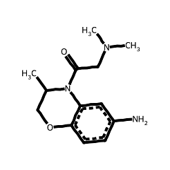 CC1COc2ccc(N)cc2N1C(=O)CN(C)C